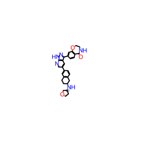 O=C1NCCOc2cc(-c3n[nH]c4ncc(-c5ccc6c(c5)CCC(N[C@@H]5CCOC5)C6)cc34)ccc21